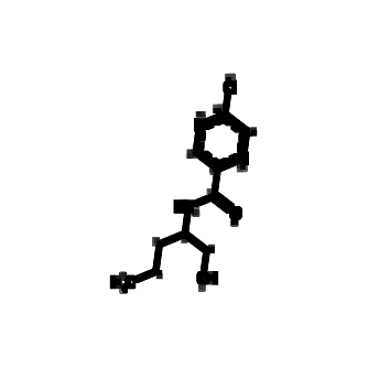 CCCC(CO)NC(=O)c1cnc(Cl)cn1